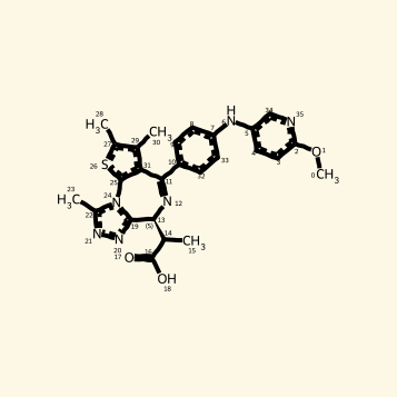 COc1ccc(Nc2ccc(C3=N[C@@H](C(C)C(=O)O)c4nnc(C)n4-c4sc(C)c(C)c43)cc2)cn1